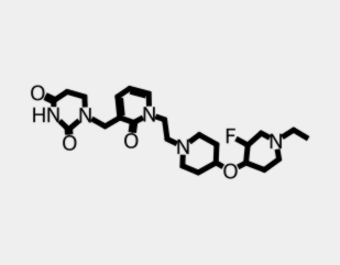 CCN1CCC(OC2CCN(CCn3cccc(CN4CCC(=O)NC4=O)c3=O)CC2)C(F)C1